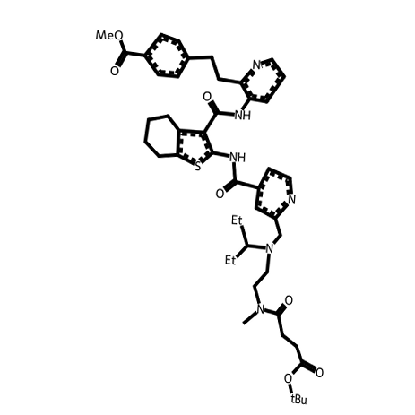 CCC(CC)N(CCN(C)C(=O)CCC(=O)OC(C)(C)C)Cc1cc(C(=O)Nc2sc3c(c2C(=O)Nc2cccnc2CCc2ccc(C(=O)OC)cc2)CCCC3)ccn1